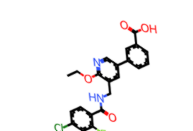 CCOc1ncc(-c2cccc(C(=O)O)c2)cc1CNC(=O)c1ccc(Cl)cc1F